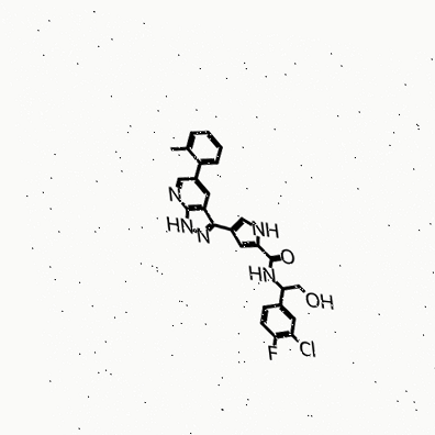 Cc1ccccc1-c1cnc2[nH]nc(-c3c[nH]c(C(=O)NC(CO)c4ccc(F)c(Cl)c4)c3)c2c1